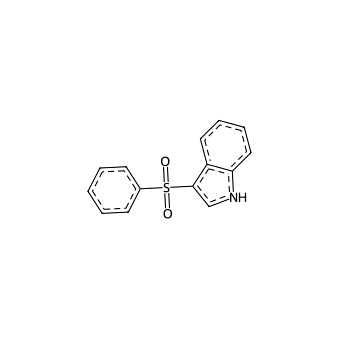 O=S(=O)(c1ccccc1)c1c[nH]c2ccccc12